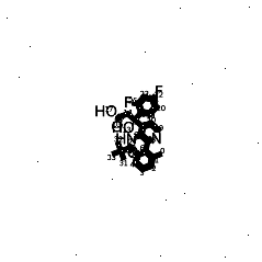 Cc1ccccc1-c1nccc(C(O)(CC(=O)O)c2ccc(F)cc2F)c1NC(=O)C(C)(C)C